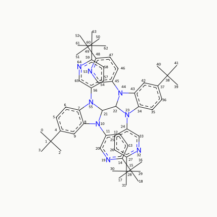 CC(C)(C)c1ccc2c(c1)N(c1ccc(C(C)(C)C)nc1)C(C1N(c3ccc(C(C)(C)C)nc3)c3ccc(C(C)(C)C)cc3N1c1ccc(C(C)(C)C)nc1)N2c1ccc(C(C)(C)C)nc1